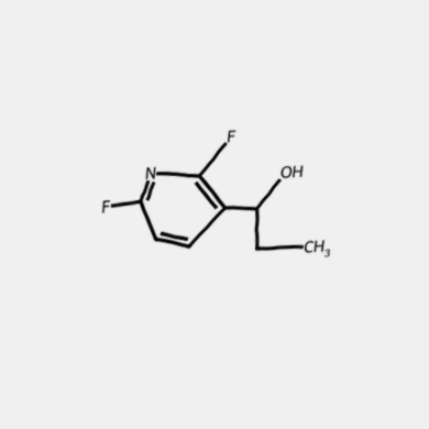 CCC(O)c1ccc(F)nc1F